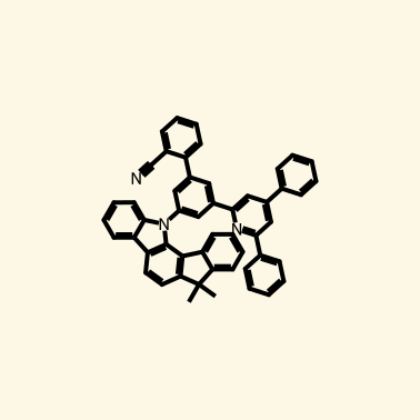 CC1(C)c2ccccc2-c2c1ccc1c3ccccc3n(-c3cc(-c4cc(-c5ccccc5)cc(-c5ccccc5)n4)cc(-c4ccccc4C#N)c3)c21